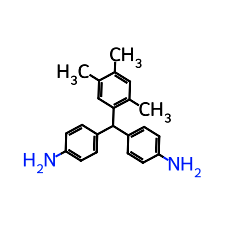 Cc1cc(C)c(C(c2ccc(N)cc2)c2ccc(N)cc2)cc1C